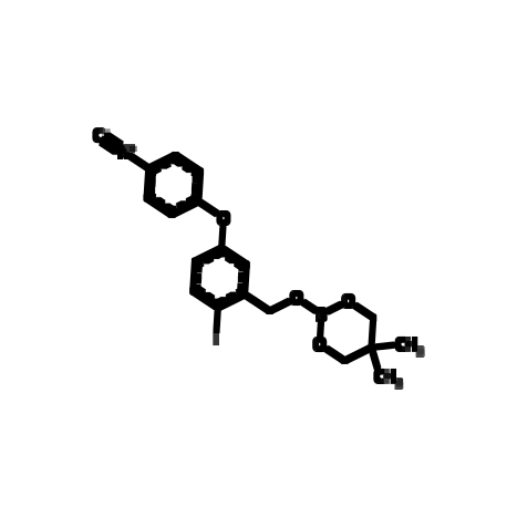 [C-]#[N+]c1ccc(Oc2ccc(I)c(COB3OCC(C)(C)CO3)c2)cc1